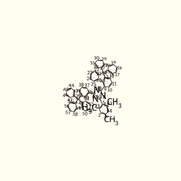 Cc1cc(C)c(-c2nc(-c3cccc(C(c4ccccc4)(c4ccccc4)c4ccccc4)c3)nc(-c3cccc(C(c4ccccc4)(c4ccccc4)c4ccccc4)c3)n2)c(C)c1